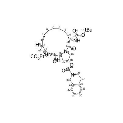 CCOC(=O)[C@@]12C[C@H]1C=CCCCCC[C@H](NC(=O)OC(C)(C)C)C(=O)N1C[C@H](OC(=O)N3CCc4ccccc4C3)C[C@H]1C(=O)N2